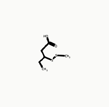 CCC(CC(=O)O)SSC